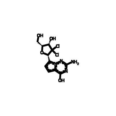 Nc1nc(O)c2ccc([C@@H]3O[C@H](CO)[C@H](O)C3(Cl)Cl)n2n1